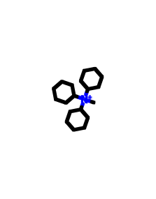 C[N+](C1CCCCC1)(C1CCCCC1)C1CCCCC1